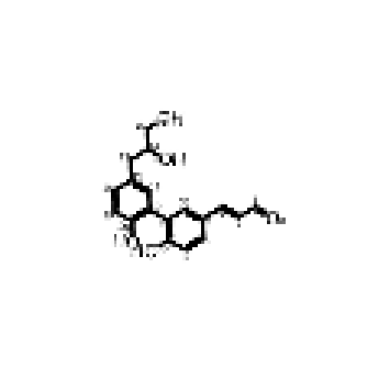 O=C/C=C/c1ccc(O)c(-c2cc(CC(O)CO)ccc2O)c1